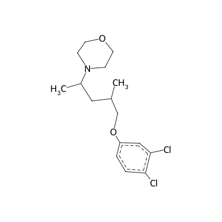 CC(COc1ccc(Cl)c(Cl)c1)CC(C)N1CCOCC1